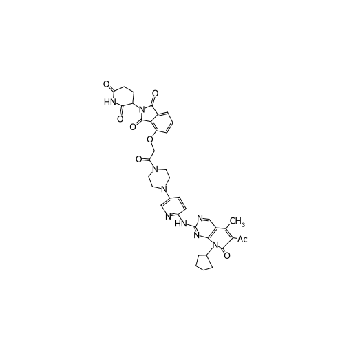 CC(=O)c1c(C)c2cnc(Nc3ccc(N4CCN(C(=O)COc5cccc6c5C(=O)N(C5CCC(=O)NC5=O)C6=O)CC4)cn3)nc2n(C2CCCC2)c1=O